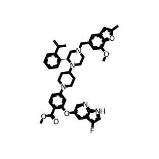 COC(=O)c1ccc(N2CCC(N3CCN(Cc4cc(OC)c5oc(C)cc5c4)C[C@H]3c3ccccc3C(C)C)CC2)cc1Oc1cnc2[nH]cc(F)c2c1